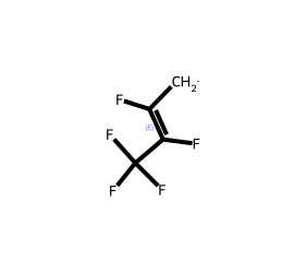 [CH2]/C(F)=C(\F)C(F)(F)F